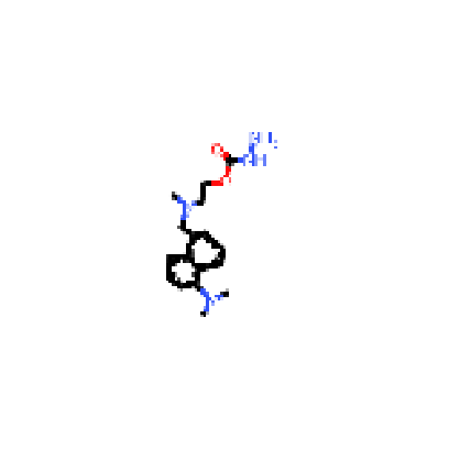 CN(CCOC(=O)NN)Cc1cccc2c(N(C)C)cccc12